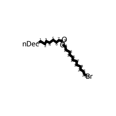 CCCCCCCCCCCCCCCCCC(=O)OCCCCCCCCCCCCBr